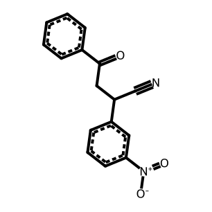 N#CC(CC(=O)c1ccccc1)c1cccc([N+](=O)[O-])c1